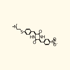 CN(C)CCSc1ccc(/C=c2\[nH]c(=O)/c(=C/c3ccc([N+](=O)[O-])cc3)[nH]c2=O)cc1